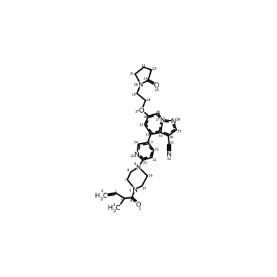 C=CC(C)C(=O)N1CCN(c2ccc(-c3cc(OCCN4CCCC4=O)cn4ncc(C#N)c34)cn2)CC1